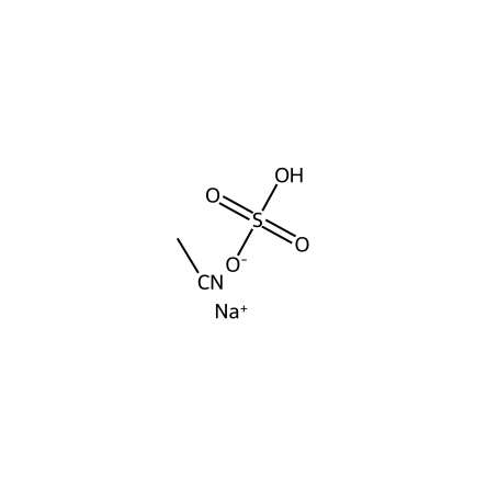 CC#N.O=S(=O)([O-])O.[Na+]